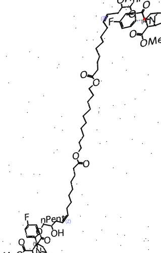 CCCCCC(OC(=O)CN1C2CCC1C(C(=O)OC)[C@@H](c1ccc(F)cc1)C2)C(O)C/C=C\CCCCCCCC(=O)OCCCCCCCCCCOC(=O)CCCCCCC/C=C\CC(O)C(CCCCC)OC(=O)CN1C2CCC1C(C(=O)OC)[C@H](c1ccc(F)cc1)C2